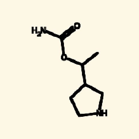 CC(OC(N)=O)C1CCNC1